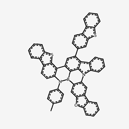 Cc1ccc(N2B3c4cc5oc6ccccc6c5cc4-n4c5ccccc5c5c(-c6ccc7c(c6)sc6ccccc67)cc(c3c54)-c3c2ccc2c3sc3ccccc32)cc1